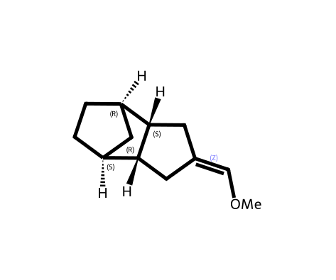 CO/C=C1\C[C@@H]2[C@H]3CC[C@H](C3)[C@@H]2C1